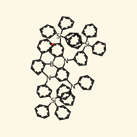 c1ccc(-c2cccc3c2B2c4ccc([Si](c5ccccc5)(c5ccccc5)c5ccccc5)cc4N(c4cccc([Si](c5ccccc5)(c5ccccc5)c5ccccc5)c4)c4cc(N(c5ccccc5)c5ccccc5)cc(c42)N3c2cccc([Si](c3ccccc3)(c3ccccc3)c3ccccc3)c2)cc1